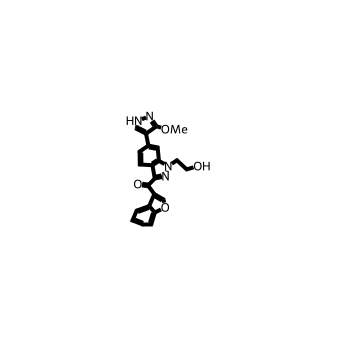 COc1n[nH]cc1-c1ccc2c(C(=O)c3coc4ccccc34)nn(CCO)c2c1